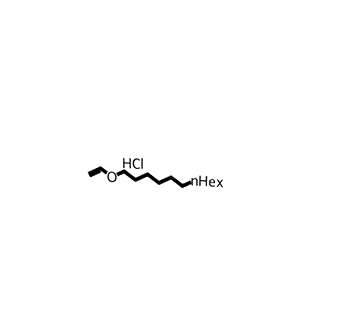 C=COCCCCCCCCCCCC.Cl